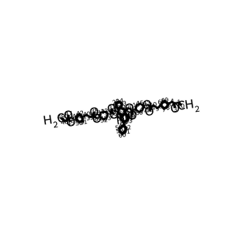 C=CC(=O)Cc1ccc(CCC(=O)O[C@H]2CC[C@H](C(=O)Oc3c4ccccc4c(OC(=O)[C@H]4CC[C@H](OC(=O)CCc5ccc(OC(=O)C=C)cc5)CC4)c4nc(-c5ccccc5)cnc34)CC2)cc1